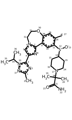 Cc1nc(-c2cn3c(n2)-c2cc([S+]([O-])C4CCN(C(C)(C)C(N)=O)CC4)c(F)cc2OCC3)n(C(C)C)n1